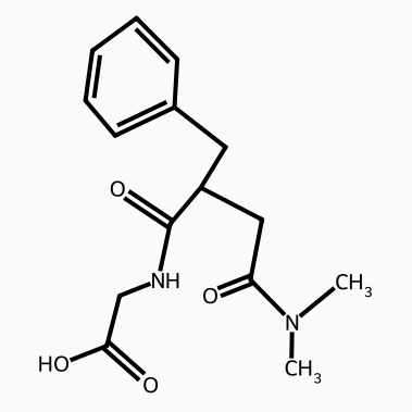 CN(C)C(=O)CC(Cc1ccccc1)C(=O)NCC(=O)O